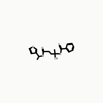 CC(OC(=O)CCC(C)(C#N)SC(=S)c1ccccc1)c1ccsc1